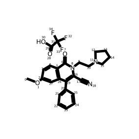 COc1ccc2c(=O)n(CCN3CCCC3)c(C#N)c(-c3ccccc3)c2c1.O=C(O)C(F)(F)F